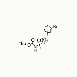 CC(C)(C)OC(=O)N[C@@](C)(CSCc1cccc(Br)c1)C(=O)O